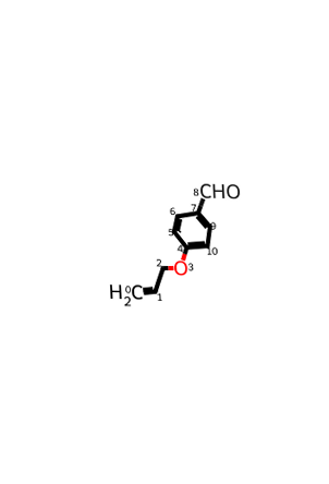 C=CCOc1[c]cc(C=O)cc1